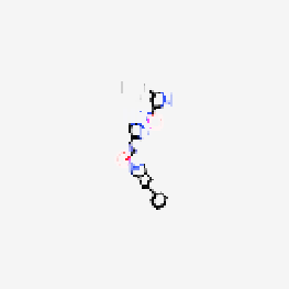 Cc1cncc(C(=O)Nc2ccc(/C=C/C(=O)N3CC4C=C(c5ccccc5)CC4C3)cn2)c1